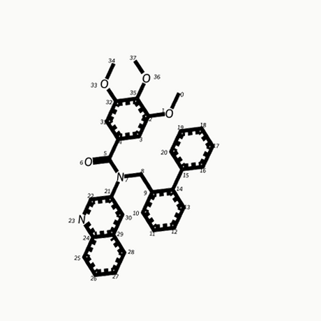 COc1cc(C(=O)N(Cc2ccccc2-c2ccccc2)c2cnc3ccccc3c2)cc(OC)c1OC